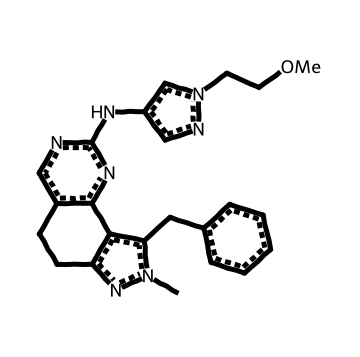 COCCn1cc(Nc2ncc3c(n2)-c2c(nn(C)c2Cc2ccccc2)CC3)cn1